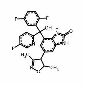 CC1=NOC(C)C1c1cc(C(O)(c2ccc(F)cn2)c2cc(F)ccc2F)c2[nH]c(=O)[nH]c2c1